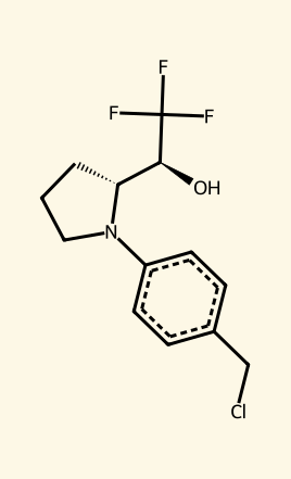 O[C@@H]([C@H]1CCCN1c1ccc(CCl)cc1)C(F)(F)F